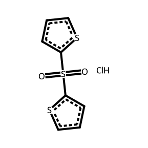 Cl.O=S(=O)(c1cccs1)c1cccs1